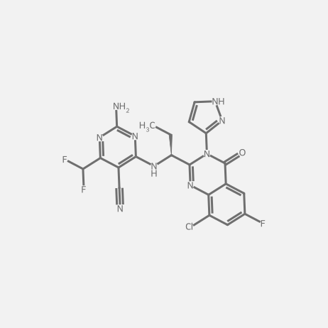 CC[C@H](Nc1nc(N)nc(C(F)F)c1C#N)c1nc2c(Cl)cc(F)cc2c(=O)n1-c1cc[nH]n1